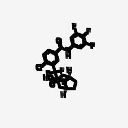 O=C(Nc1cc(F)c(F)c(F)c1)c1ccc(Cl)c(C(F)(F)C(=O)N2[C@@H]3CC[C@H]2C[C@@H](O)C3)c1